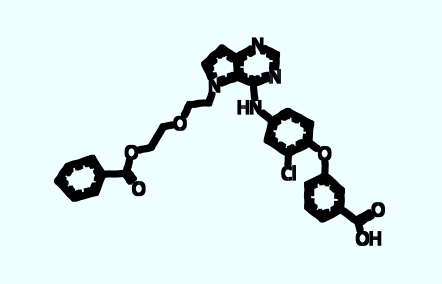 O=C(O)c1cccc(Oc2ccc(Nc3ncnc4ccn(CCOCCOC(=O)c5ccccc5)c34)cc2Cl)c1